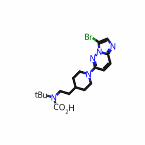 CC(C)(C)N(CCC1CCN(c2ccc3ncc(Br)n3n2)CC1)C(=O)O